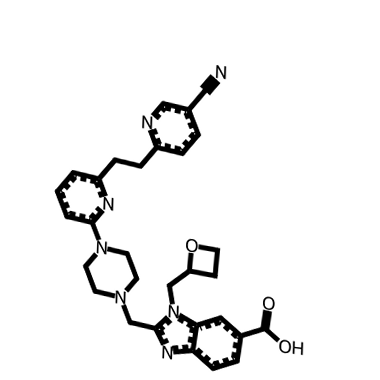 N#Cc1ccc(CCc2cccc(N3CCN(Cc4nc5ccc(C(=O)O)cc5n4CC4CCO4)CC3)n2)nc1